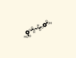 O=C(COc1ccc(C(=O)O)cc1)NCCNC(=O)COc1cccc(C(=O)O)c1